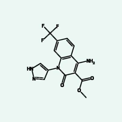 COC(=O)c1c(N)c2ccc(C(F)(F)F)cc2n(-c2cn[nH]c2)c1=O